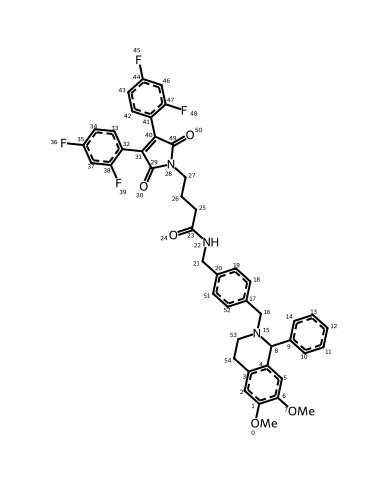 COc1cc2c(cc1OC)C(c1ccccc1)N(Cc1ccc(CNC(=O)CCCN3C(=O)C(c4ccc(F)cc4F)=C(c4ccc(F)cc4F)C3=O)cc1)CC2